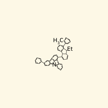 CCC1c2c(-c3ccccc3C)cccc2C2C(c3ccc4c5cc(-c6ccccc6)ccc5n5c6ccccc6c3c45)=CC=CC12